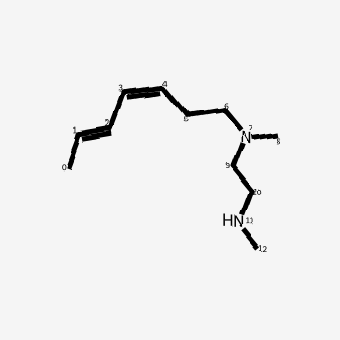 C/C=C/C=C\CCN(C)CCNC